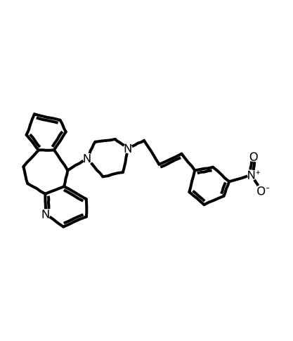 O=[N+]([O-])c1cccc(/C=C/CN2CCN(C3c4ccccc4CCc4ncccc43)CC2)c1